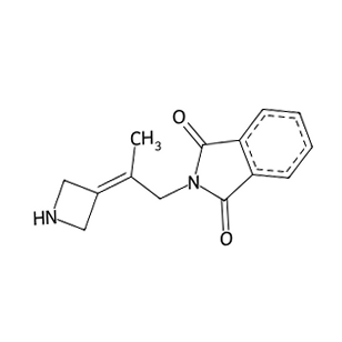 CC(CN1C(=O)c2ccccc2C1=O)=C1CNC1